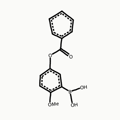 COc1ccc(OC(=O)c2ccccc2)cc1B(O)O